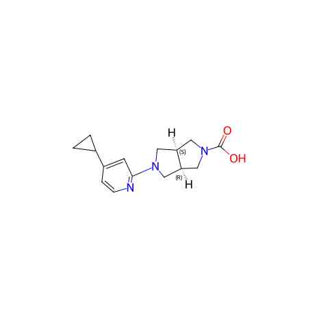 O=C(O)N1C[C@@H]2CN(c3cc(C4CC4)ccn3)C[C@@H]2C1